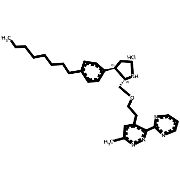 CCCCCCCCc1ccc([C@H]2CCN[C@@H]2COCCc2cc(C)nnc2-c2ncccn2)cc1.Cl